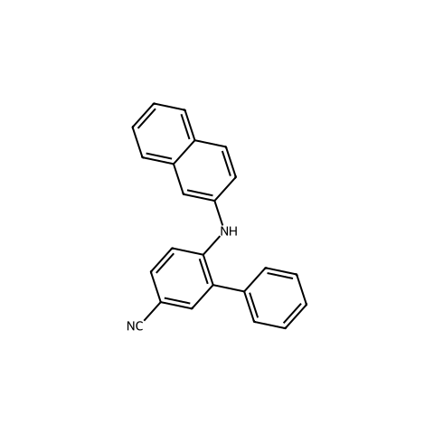 N#Cc1ccc(Nc2ccc3ccccc3c2)c(-c2ccccc2)c1